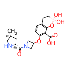 C[C@H]1CN[C@@H](C(=O)N2CC(Oc3ccc4c(c3C(=O)O)O[B-](O)(O)CC4)C2)C1